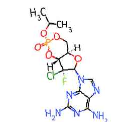 CC(C)O[P@]1(=O)OC[C@H]2O[C@@H](n3cnc4c(N)nc(N)nc43)[C@@](F)(Cl)[C@@H]2O1